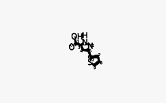 O=C(O)C1CC(c2cccs2)=NN1